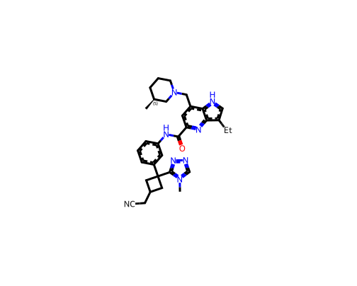 CCc1c[nH]c2c(CN3CCC[C@H](C)C3)cc(C(=O)Nc3cccc(C4(c5nncn5C)CC(CC#N)C4)c3)nc12